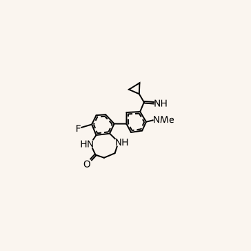 CNc1ccc(-c2ccc(F)c3c2NCCC(=O)N3)cc1C(=N)C1CC1